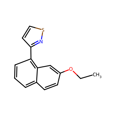 CCOc1ccc2cccc(-c3ccsn3)c2c1